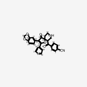 N#Cc1ccc(C(=O)C2CNCCC23OC(c2ccncc2)=C(c2ccc4c(c2)OCO4)C3=O)cc1